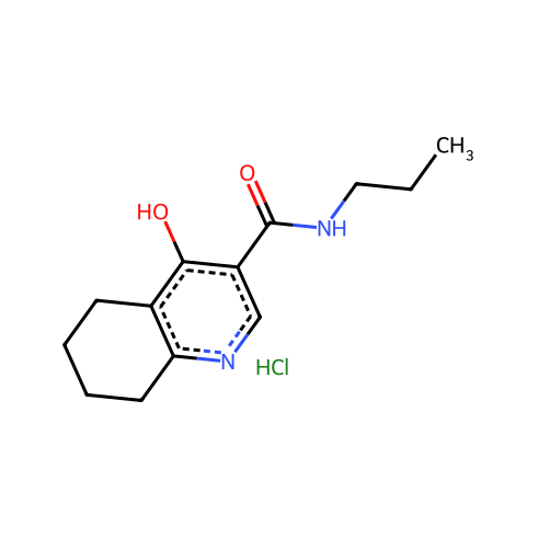 CCCNC(=O)c1cnc2c(c1O)CCCC2.Cl